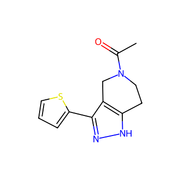 CC(=O)N1CCc2[nH]nc(-c3cccs3)c2C1